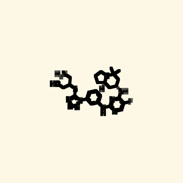 CC1(C)C[C@H](Nc2nc(Nc3cccc(-n4nnnc4SC(CN)CO)c3)ncc2F)C[C@H]2CCCN21